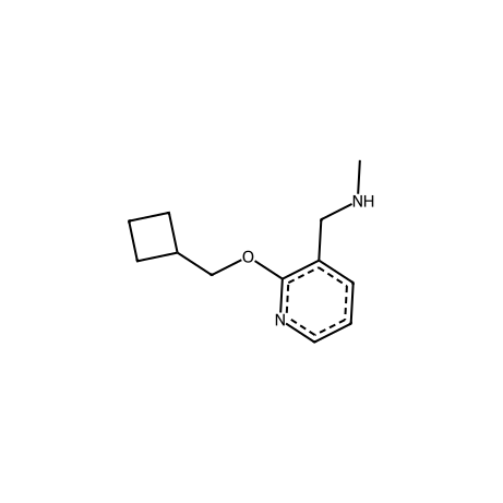 CNCc1cccnc1OCC1CCC1